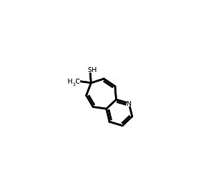 CC1(S)C=Cc2cccnc2C=C1